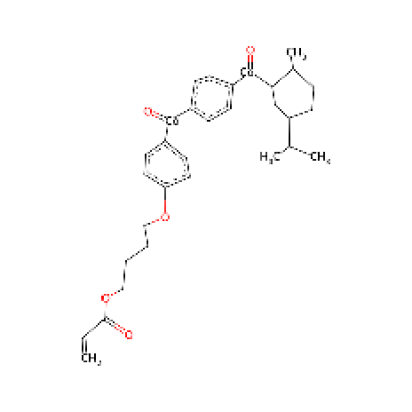 C=CC(=O)OCCCCOc1cc[c]([Co](=[O])[c]2cc[c]([Co](=[O])[CH]3CC(C(C)C)CCC3C)cc2)cc1